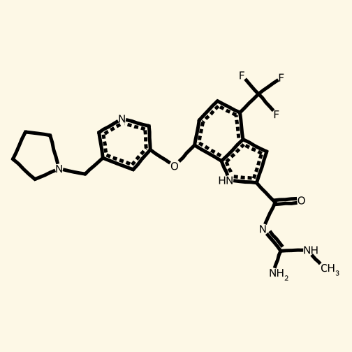 CNC(N)=NC(=O)c1cc2c(C(F)(F)F)ccc(Oc3cncc(CN4CCCC4)c3)c2[nH]1